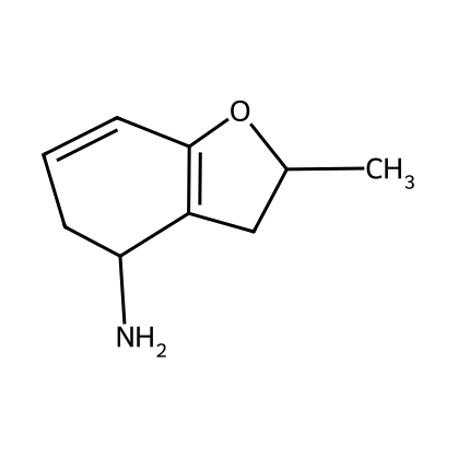 CC1CC2=C(C=CCC2N)O1